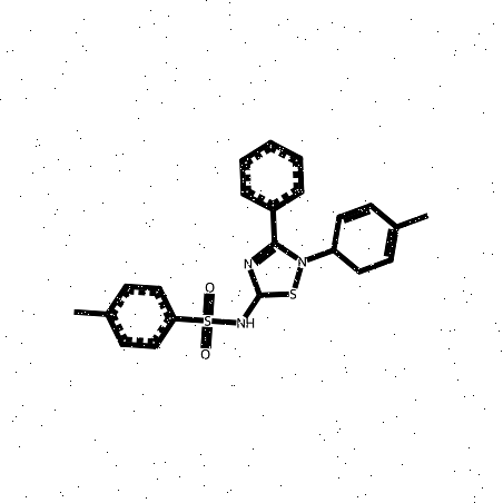 CC1=CCC(N2SC(NS(=O)(=O)c3ccc(C)cc3)N=C2c2ccccc2)C=C1